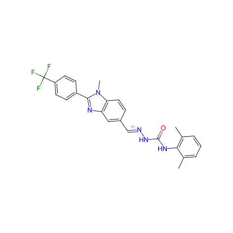 Cc1cccc(C)c1NC(=O)N/N=C/c1ccc2c(c1)nc(-c1ccc(C(F)(F)F)cc1)n2C